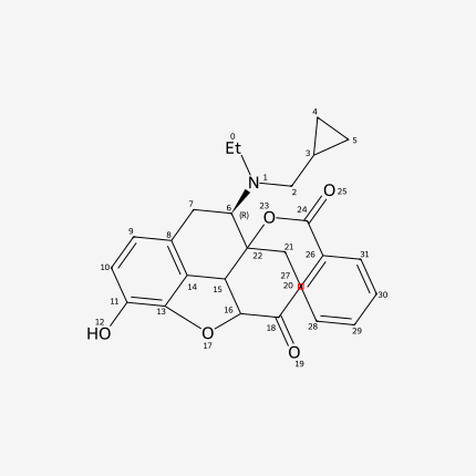 CCN(CC1CC1)[C@@H]1Cc2ccc(O)c3c2C2C(O3)C(=O)CCC21OC(=O)c1ccccc1